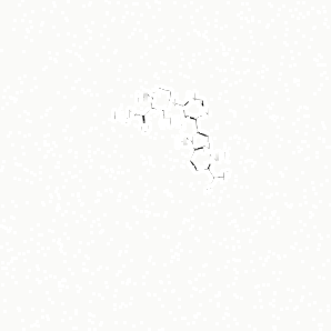 CC1C(C(N)=O)NCCN1c1cc(-c2cnc(/C=C\C(=N)C(F)F)[nH]2)ncn1